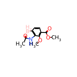 Bc1ccc(C(=O)OC)c(OC)c1NC(C)=O